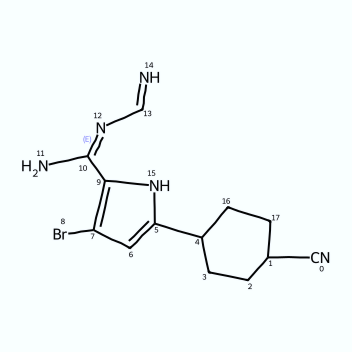 N#CC1CCC(c2cc(Br)c(/C(N)=N\C=N)[nH]2)CC1